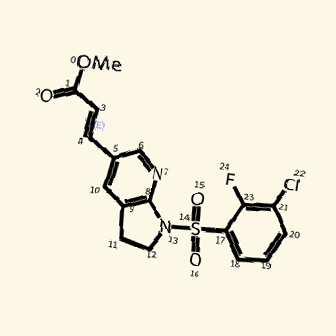 COC(=O)/C=C/c1cnc2c(c1)CCN2S(=O)(=O)c1cccc(Cl)c1F